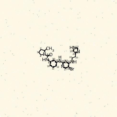 CC1CCCN1C(=O)Nc1cccc(Nc2ncc(Br)c(NCCc3c[nH]cn3)n2)c1